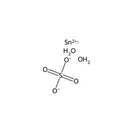 O.O.O=S(=O)([O-])[O-].[Sn+2]